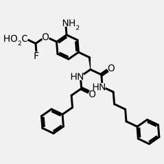 Nc1cc(C[C@H](NC(=O)CCc2ccccc2)C(=O)NCCCCc2ccccc2)ccc1OC(F)C(=O)O